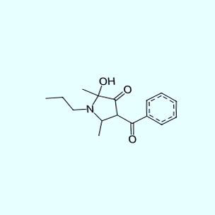 CCCN1C(C)C(C(=O)c2ccccc2)C(=O)C1(C)O